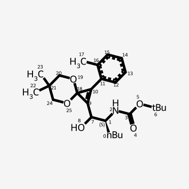 CCCC[C@H](NC(=O)OC(C)(C)C)C(O)C1=C(c2ccccc2C)C12OCC(C)(C)CO2